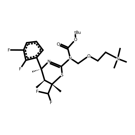 C[C@H]1[C@@](C)(c2cccc(F)c2F)N=C(N(COCC[Si](C)(C)C)C(=O)OC(C)(C)C)S[C@]1(C)C(F)F